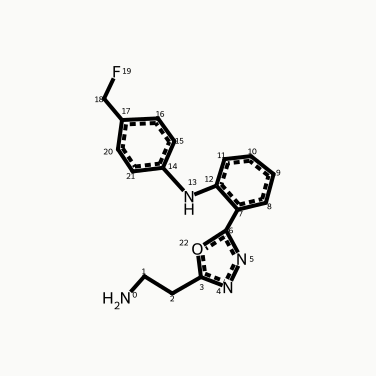 NCCc1nnc(-c2ccccc2Nc2ccc(CF)cc2)o1